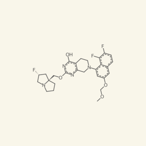 COCOc1cc(N2CCc3c(O)nc(OC[C@@]45CCCN4C[C@H](F)C5)nc3C2)c2c(F)c(F)ccc2c1